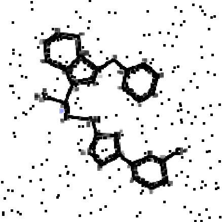 C/C(=N/Nc1nc(-c2cccc(Cl)c2)cs1)c1cn(Cc2ccccc2)c2ccccc12